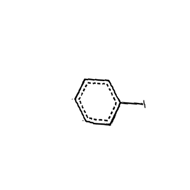 Ic1c[c][c]cc1